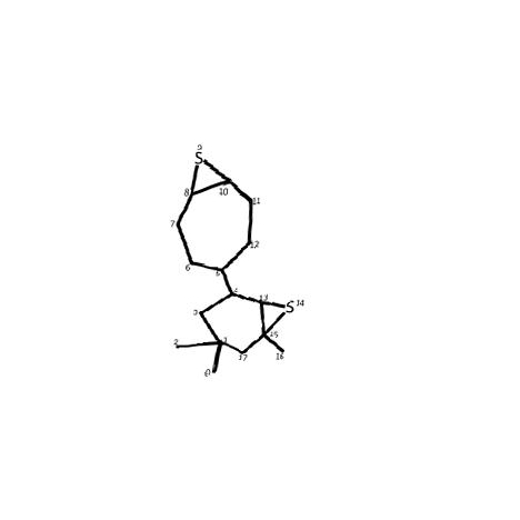 CC1(C)CC(C2CCC3SC3CC2)C2SC2(C)C1